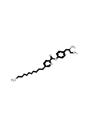 CCCCCCCCCCCc1ccc(C(=O)Oc2ccc(C[C@@H](C)CC)cc2)nc1